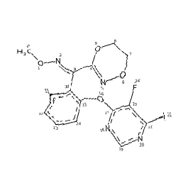 CO/N=C(/C1=NOCCO1)c1ccccc1Oc1ncnc(I)c1F